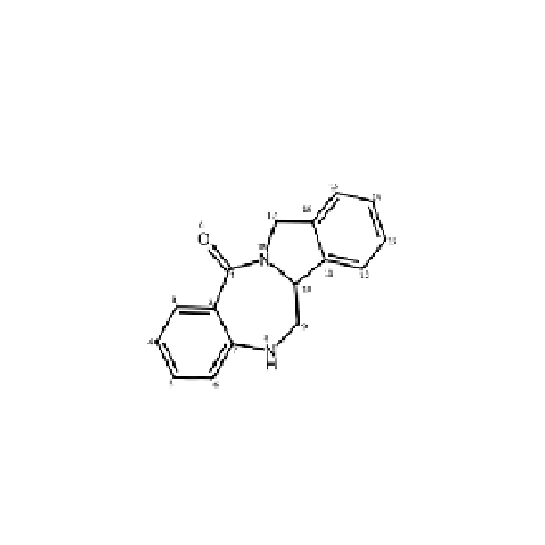 O=C1c2ccccc2NCC2c3ccccc3CN12